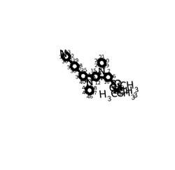 CC1(C)OB(c2ccc3c(c2)c2cc4c(cc2n3-c2ccccc2)c2cc(-c3ccc(-c5ccncc5)cc3)ccc2n4-c2ccccc2)OC1(C)C